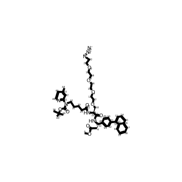 COC(=O)C[C@H](NC(=O)[C@H](COCCOCCOCCOCCN=[N+]=[N-])NC(=O)CCCCN(C(=O)OC(C)(C)C)c1cc(C)ccn1)c1ccc(-c2cccc3ccccc23)cc1